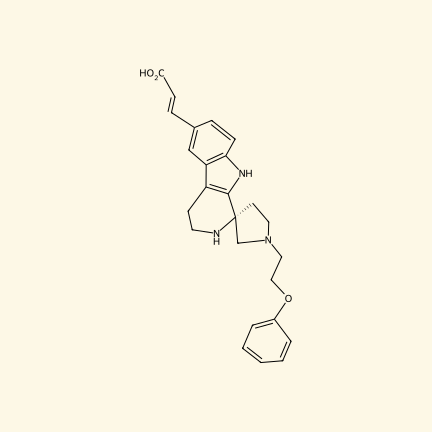 O=C(O)/C=C/c1ccc2[nH]c3c(c2c1)CCN[C@@]31CCN(CCOc2ccccc2)C1